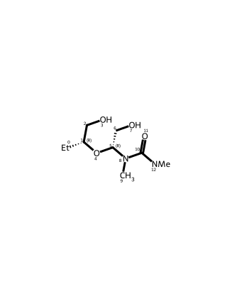 CC[C@H](CO)O[C@H](CO)N(C)C(=O)NC